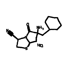 Cl.N#CC1CSC2CC(N)(CC3CCCCC3)C(=O)N12